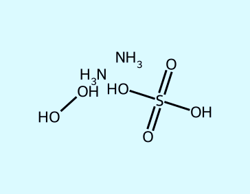 N.N.O=S(=O)(O)O.OO